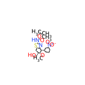 COc1c(CO)cc2sc(NC(=O)OC(C)(C)C)nc2c1-c1cccc([N+](=O)[O-])c1